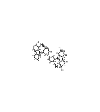 Cc1ccc2c3ccccc3n(-c3cc(-c4ccc(C#N)c(-n5c6cc(C)ccc6c6ccc(C)cc65)c4)ccc3C#N)c2c1